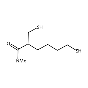 CNC(=O)C(CS)CCCCS